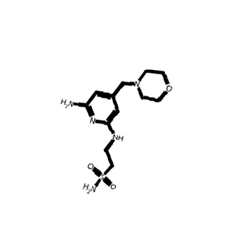 Nc1cc(CN2CCOCC2)cc(NCCS(N)(=O)=O)n1